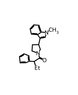 CCC(C(=O)N1CCC(c2cn(C)c3ccccc23)C1)c1ccccc1